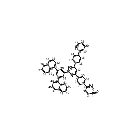 C#C/C=C\C(=N/C)c1ccc(-c2cc(-c3ccc(-c4ccccn4)cc3)nc(-c3cc(-c4cccc5ccccc45)cc(-c4cccc5ccccc45)c3)n2)cc1